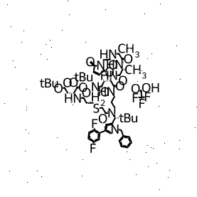 C[C@H](NC(=O)CN1C(=O)C=CC1=O)C(=O)N[C@H](C)C(=O)N[C@@H](CC(N)=O)C(=O)NCCCN(C(=O)CSCCC(=O)N[C@H](CC(=O)OC(C)(C)C)C(=O)OC(C)(C)C)[C@@H](c1cc(-c2cc(F)ccc2F)cn1Cc1ccccc1)C(C)(C)C.O=C(O)C(F)(F)F